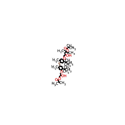 C=C(C)C(=O)OCC(O)COc1cc(C)c(Sc2cc(C(C)(C)C)c(OCC(O)CC(CC)(CC)OC(=O)C(=C)C)cc2C)cc1C(C)(C)C